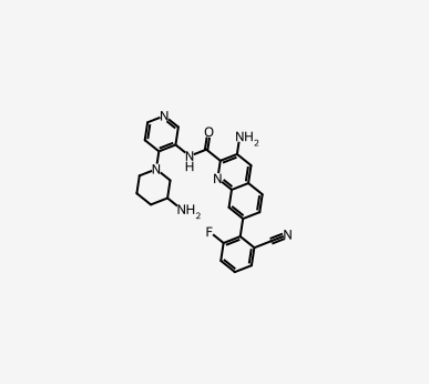 N#Cc1cccc(F)c1-c1ccc2cc(N)c(C(=O)Nc3cnccc3N3CCCC(N)C3)nc2c1